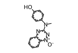 CN(c1ccc(O)cc1)c1nc2ccccc2[n+]([O-])n1